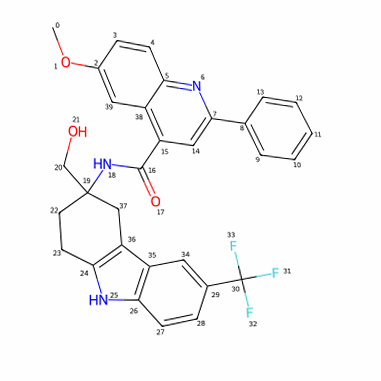 COc1ccc2nc(-c3ccccc3)cc(C(=O)NC3(CO)CCc4[nH]c5ccc(C(F)(F)F)cc5c4C3)c2c1